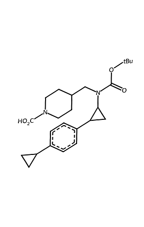 CC(C)(C)OC(=O)N(CC1CCN(C(=O)O)CC1)C1CC1c1ccc(C2CC2)cc1